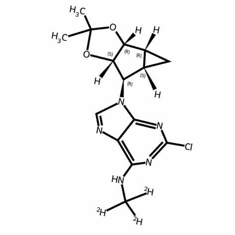 [2H]C([2H])([2H])Nc1nc(Cl)nc2c1ncn2[C@@H]1[C@H]2C[C@H]2[C@H]2OC(C)(C)O[C@H]21